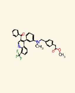 COC(=O)Cc1ccc(CN(C)c2cccc(-c3c(C(=O)c4ccccc4)cnc4c(C(F)(F)F)cccc34)c2)cc1